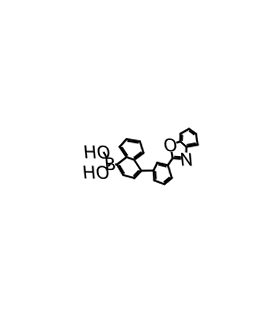 OB(O)c1ccc(-c2cccc(-c3nc4ccccc4o3)c2)c2ccccc12